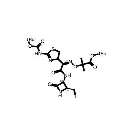 CC(C)(C)OC(=O)NC1=NC(/C(=N/OC(C)(C)C(=O)OC(C)(C)C)C(=O)N[C@@H]2C(=O)N[C@@H]2CI)CS1